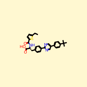 CCc1ccc(C(=O)N[C@@H](Cc2ccc(-c3ncc(-c4ccc(C(C)(C)C)cc4)cn3)cc2)C(=O)O)s1